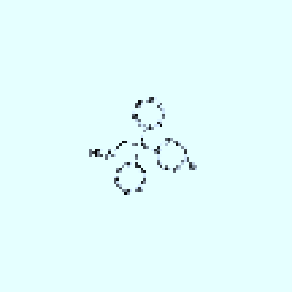 O=C(O)C[P+](c1ccccc1)(c1ccccc1)c1ccccc1.[Br-]